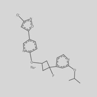 CC(C)Oc1cc(C2(F)CC(Oc3ccc(-c4cc([O-])no4)cn3)C2)ccn1.[Na+]